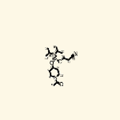 CC(=O)N1CCC(OP(OCCC#N)N(C(C)C)C(C)C)CC1